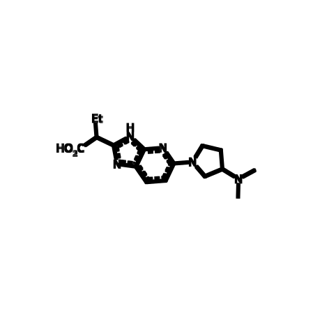 CCC(C(=O)O)c1nc2ccc(N3CCC(N(C)C)C3)nc2[nH]1